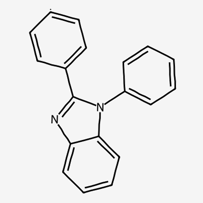 [c]1ccc(-c2nc3ccccc3n2-c2ccccc2)cc1